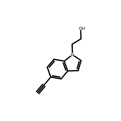 C#Cc1ccc2c(ccn2CCO)c1